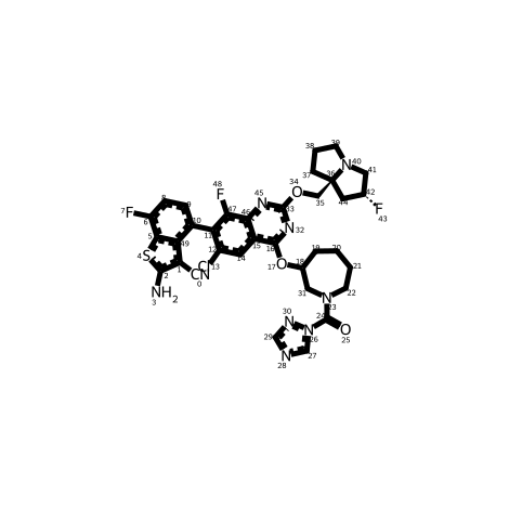 N#Cc1c(N)sc2c(F)ccc(-c3c(Cl)cc4c(OC5CCCCN(C(=O)n6cncn6)C5)nc(OC[C@@]56CCCN5C[C@H](F)C6)nc4c3F)c12